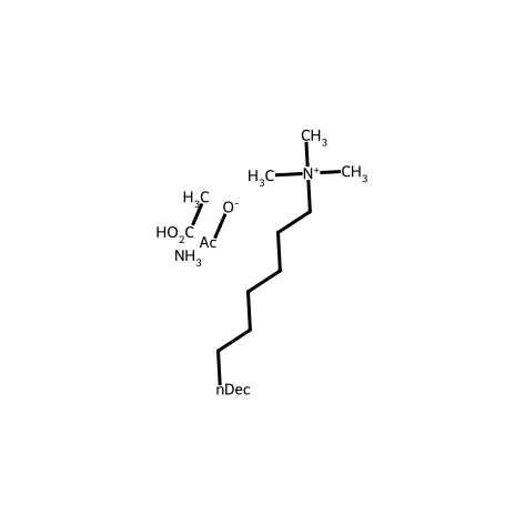 CC(=O)O.CC(=O)[O-].CCCCCCCCCCCCCCCC[N+](C)(C)C.N